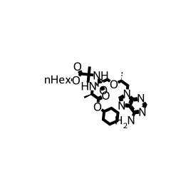 CCCCCCOC(=O)C(C)(C)NP(=O)(CO[C@H](C)Cn1cnc2c(N)ncnc21)N[C@H](C)C(=O)OC1CCCCC1